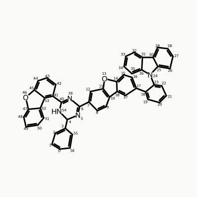 c1ccc(C2N=C(c3ccc4c(c3)oc3ccc(-c5ccccc5-n5c6ccccc6c6ccccc65)cc34)N=C(c3cccc4oc5ccccc5c34)N2)cc1